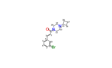 O=C(C=Cc1cccc(Br)c1)N1CCN(C2CCC2)CC1